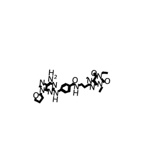 CCn1c(=O)c2c(nc(CCNC(=O)c3ccc(Nc4nc(N)c5ncn(C6CCCO6)c5n4)cc3)n2C)n(CC)c1=O